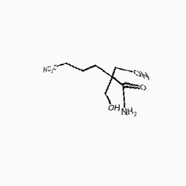 NC(=O)C(CO)(CO)CCCC(=O)O